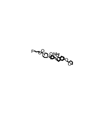 COc1cc(-n2ccc3cc(OCC4CCCO4)ccc3c2=O)ccc1N1CCCN(C(=O)OCCCF)CC1